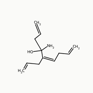 C=CCC=C(CC=C)C(N)(O)CC=C